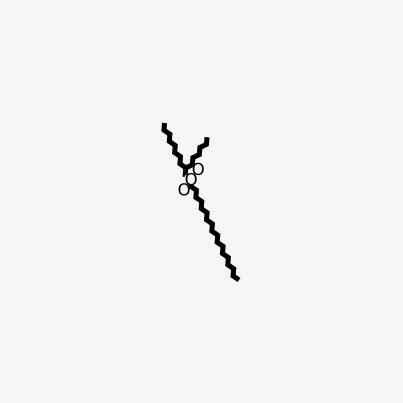 CCCCCCCCCCCCCCCCCC(=O)OCC(CCCCCCCC)C(=O)CCCCC